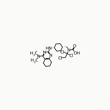 CN(C)c1nc(N[C@H]2CC[C@@H](CN(C(=O)O)C(Cl)(Cl)CCl)CC2)nc2c1CCCC2